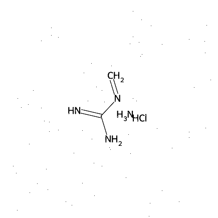 C=NC(=N)N.Cl.N